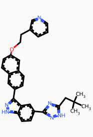 CC(C)(C)Cc1nc(-c2ccc3[nH]nc(-c4ccc5cc(OCCc6cccnc6)ccc5c4)c3c2)n[nH]1